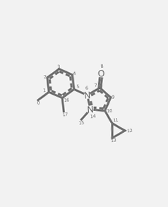 Cc1cccc(-n2c(=O)cc(C3CC3)n2C)c1C